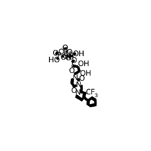 O=c1ccn([C@@H]2O[C@H](COP(=O)(O)OP(=O)(O)OP(=O)(O)O)C(O)C2O)c(=O)n1Cc1nccc(-c2ccccc2)c1C(F)(F)F